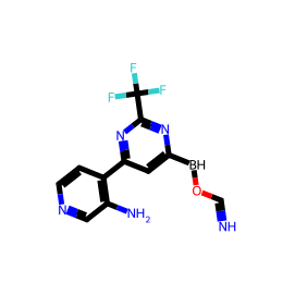 N=COBc1cc(-c2ccncc2N)nc(C(F)(F)F)n1